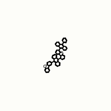 c1ccc(-c2c3ccccc3c(-c3cccc4c3sc3cccc(-c5c6ccccc6c(-c6ccc7oc8ccccc8c7c6)c6ccccc56)c34)c3ccccc23)cc1